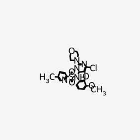 COc1ccccc1Oc1c(Cl)nc(N2CCOCC2)nc1NS(=O)(=O)c1ccc(C)cn1